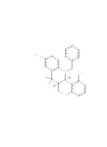 COc1ccc2c(c1)C(C)(C)[C@H]1COc3cccc(OC)c3[C@H]1N2Cc1ccccc1